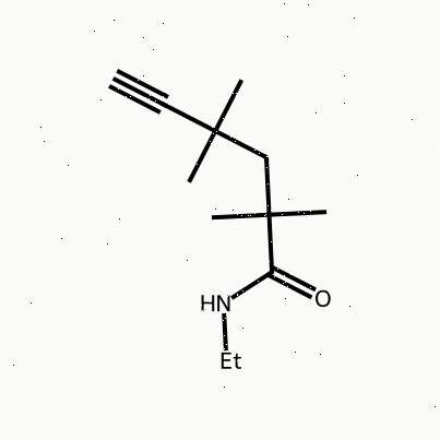 C#CC(C)(C)CC(C)(C)C(=O)NCC